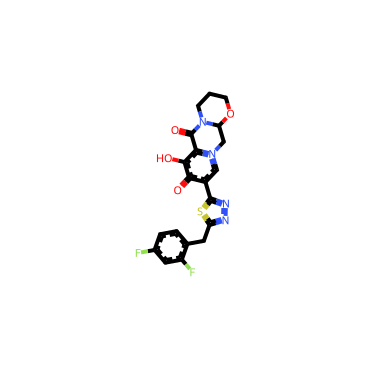 O=C1c2c(O)c(=O)c(-c3nnc(Cc4ccc(F)cc4F)s3)cn2CC2OCCCN12